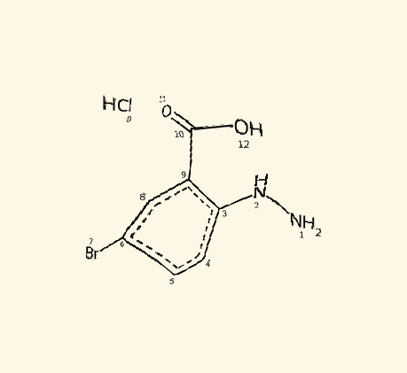 Cl.NNc1ccc(Br)cc1C(=O)O